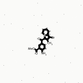 COC(=O)c1cc(C(=O)c2c(C)c(Br)c3ccccn23)ccc1N